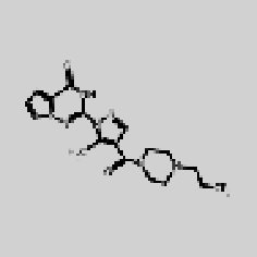 Cc1c(C(=O)N2CCN(CCC(F)(F)F)CC2)cnn1-c1nn2cccc2c(=O)[nH]1